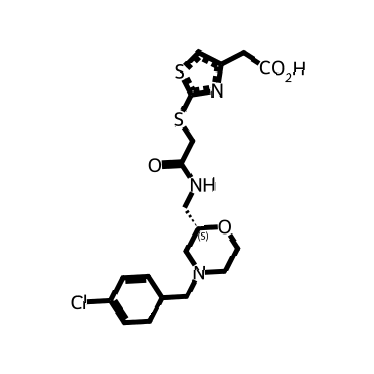 O=C(O)Cc1csc(SCC(=O)NC[C@H]2CN(CC3C=CC(Cl)=CC3)CCO2)n1